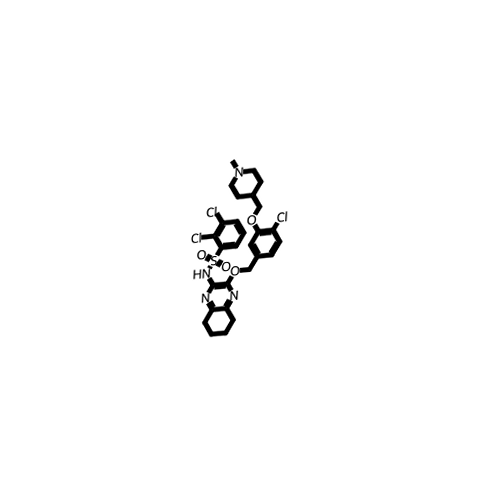 CN1CCC(COc2cc(COc3nc4c(nc3NS(=O)(=O)c3cccc(Cl)c3Cl)CCCC4)ccc2Cl)CC1